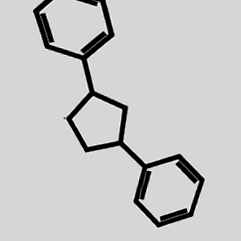 [CH]1CC(c2ccccc2)CC1c1ccccc1